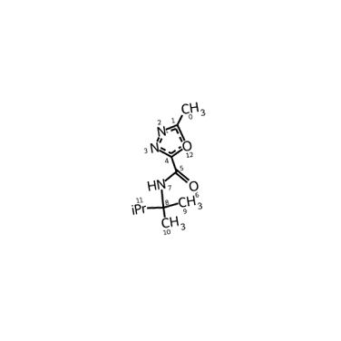 Cc1nnc(C(=O)NC(C)(C)C(C)C)o1